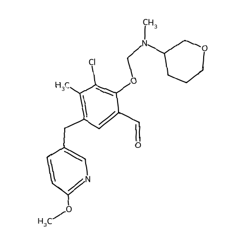 COc1ccc(Cc2cc(C=O)c(OCN(C)C3CCCOC3)c(Cl)c2C)cn1